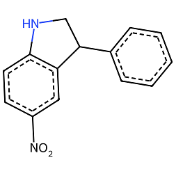 O=[N+]([O-])c1ccc2c(c1)C(c1ccccc1)CN2